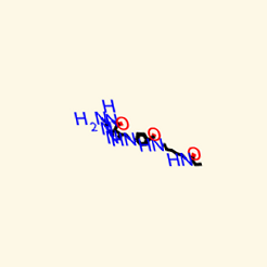 CCC(=O)NCCCCCNC(=O)c1ccc(NCC2=CN=C3N=C(N)NC(=O)C23)cc1